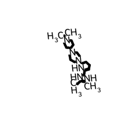 CCC1=C(C)NC(C2=CCCC(N3CCCN(C4CCN(C(C)C)CC4)CC3)N2)N1